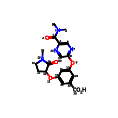 CN(C)C(=O)c1cnc(Oc2cc(O[C@H]3CCN(C)C3=O)cc(C(=O)O)c2)cn1